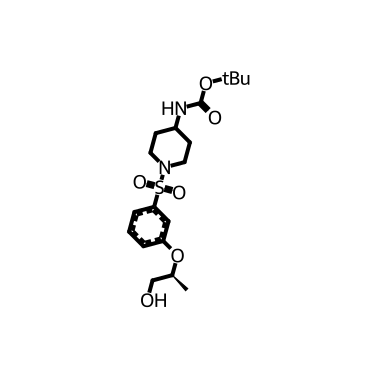 C[C@@H](CO)Oc1cccc(S(=O)(=O)N2CCC(NC(=O)OC(C)(C)C)CC2)c1